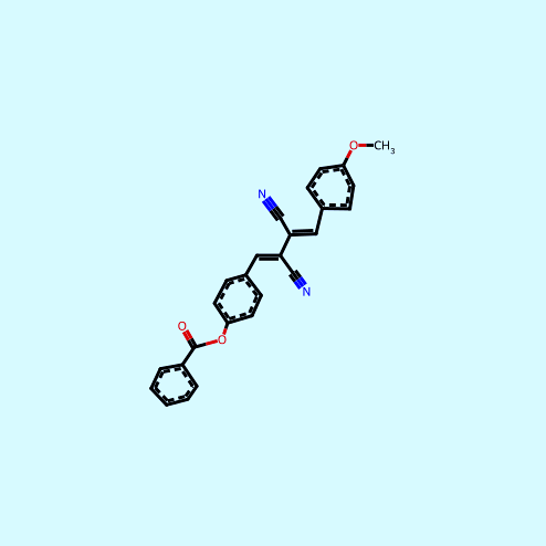 COc1ccc(/C=C(C#N)/C(C#N)=C/c2ccc(OC(=O)c3ccccc3)cc2)cc1